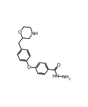 NNC(=O)c1ccc(Oc2ccc(CC3CNCCO3)cc2)cc1